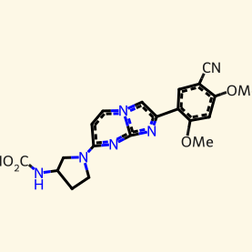 COc1cc(OC)c(-c2cn3ccc(N4CCC(NC(=O)O)C4)nc3n2)cc1C#N